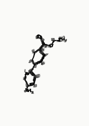 Bc1ccc(C2=CCC(C(=O)OCC)CC2)cc1